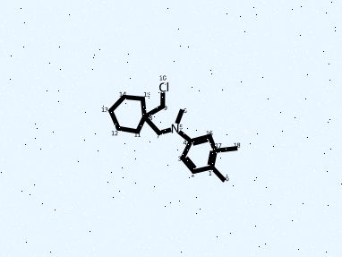 Cc1ccc(N(C)CC2(CCl)CCCCC2)cc1C